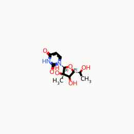 CC(O)[C@H]1O[C@@H](n2ccc(=O)[nH]c2=O)[C@](C)(O)C1O